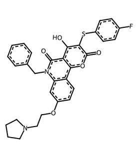 O=c1oc2c(c(O)c1Sc1ccc(F)cc1)c(=O)n(Cc1ccccc1)c1cc(OCCN3CCCC3)ccc21